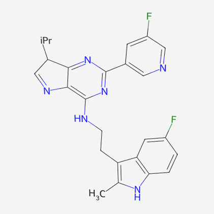 Cc1[nH]c2ccc(F)cc2c1CCNc1nc(-c2cncc(F)c2)nc2c1N=CC2C(C)C